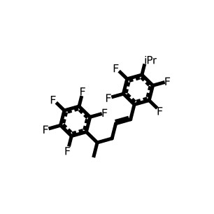 CC(C)c1c(F)c(F)c(/C=C/CC(C)c2c(F)c(F)c(F)c(F)c2F)c(F)c1F